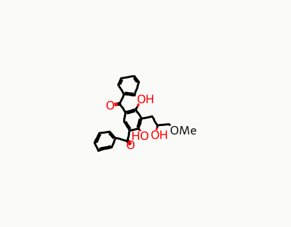 COCC(O)Cc1c(O)c(C(=O)c2ccccc2)cc(C(=O)c2ccccc2)c1O